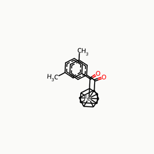 Cc1cccc(C(=O)[C]23[CH]4[CH]5[CH]6[CH]2[Fe]56432789[CH]3[CH]2[CH]7[C]8(C(=O)c2cccc(C)c2)[CH]39)c1